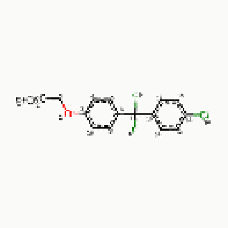 CCOC(=O)COc1ccc(C(F)(F)c2ccc(Cl)cc2)cc1